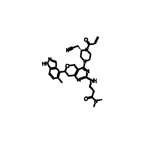 C=CC(=O)N1CCN(c2nc(NCCC(=O)N(C)C)nc3c2COC(c2c(C)ccc4[nH]ncc24)C3)C[C@@H]1CC#N